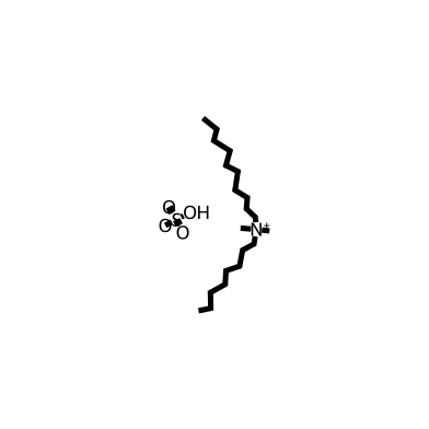 CCCCCCCCCC[N+](C)(C)CCCCCCCC.O=S(=O)([O-])O